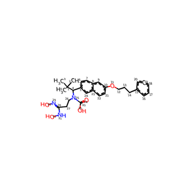 CC(C)(C)C(c1ccc2cc(OCCCc3ccccc3)ccc2c1)N(CCC(=NO)NO)C(=O)O